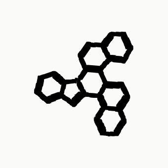 c1ccc2c(c1)ccc1c2c2ccc3ccccc3c2c2cc3ccccc3n12